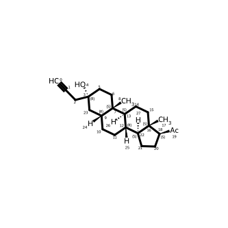 C#CC[C@@]1(O)CC[C@@]2(C)[C@H](CC[C@@H]3[C@@H]2CC[C@]2(C)[C@@H](C(C)=O)CC[C@@H]32)C1